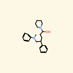 CN(CC(CCC(O)N1CCCCC1)c1ccccc1)c1ccccc1